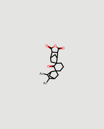 CC(=O)C1C2CC(C1C(C)=O)C1(CCCC3(CC4CC3C3C(=O)OC(=O)C43)C1=O)C2